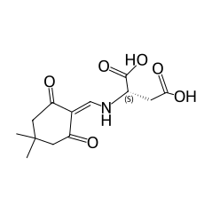 CC1(C)CC(=O)C(=CN[C@@H](CC(=O)O)C(=O)O)C(=O)C1